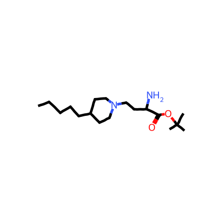 CCCCCC1CCN(CCC(N)C(=O)OC(C)(C)C)CC1